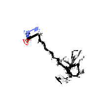 CC1=C(C=CC=CC=CC=CC(N)=O)C(C)(C)CCC1